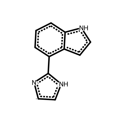 [c]1c[nH]c(-c2cccc3[nH]ccc23)n1